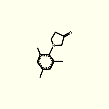 Cc1cc(C)c(N2CCC(=O)C2)c(C)c1